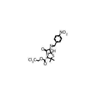 CC1(C)S[C@@H]2[C@H](N=Cc3ccc([N+](=O)[O-])cc3)C(=O)N2[C@H]1C(=O)OCC(Cl)(Cl)Cl